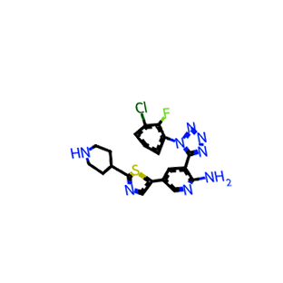 Nc1ncc(-c2cnc(C3CCNCC3)s2)cc1-c1nnnn1-c1cccc(Cl)c1F